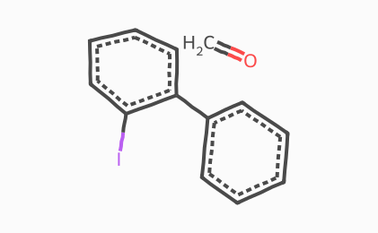 C=O.Ic1ccccc1-c1ccccc1